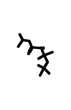 CC(C)CC(=O)NC(C)(C)CC(C)(C)C